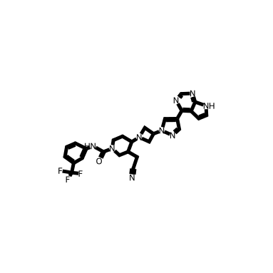 N#CCC1CN(C(=O)Nc2cccc(C(F)(F)F)c2)CCC1N1CC(n2cc(-c3ncnc4[nH]ccc34)cn2)C1